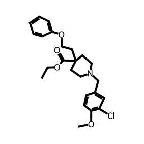 CCOC(=O)C1(CCOc2ccccc2)CCN(Cc2ccc(OC)c(Cl)c2)CC1